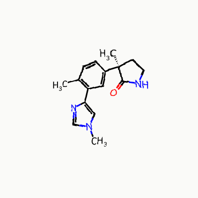 Cc1ccc([C@@]2(C)CCNC2=O)cc1-c1cn(C)cn1